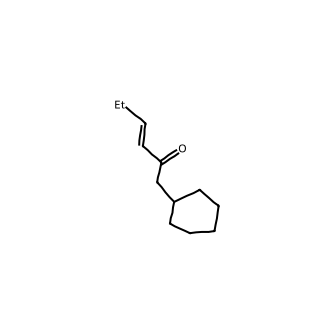 CC/C=C/C(=O)CC1CCCCC1